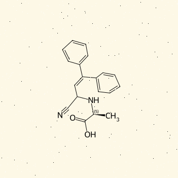 C[C@H](NC(C#N)C=C(c1ccccc1)c1ccccc1)C(=O)O